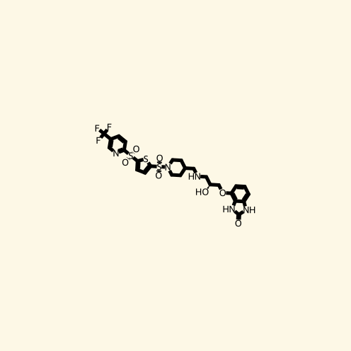 O=c1[nH]c2cccc(OC[C@H](O)CNCC3CCN(S(=O)(=O)c4ccc(S(=O)(=O)c5ccc(C(F)(F)F)cn5)s4)CC3)c2[nH]1